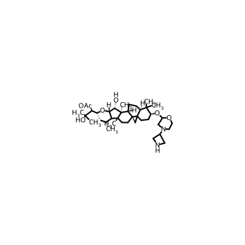 CC(=O)O[C@@H]([C@H]1C[C@@H](C)C2[C@H](O1)[C@H](O)[C@@]1(C)[C@@H]3CC[C@H]4C(C)(C)[C@@H](OC5CN(C6CNC6)CCO5)CCC45C[C@@]35CC[C@]21C)C(C)(C)O